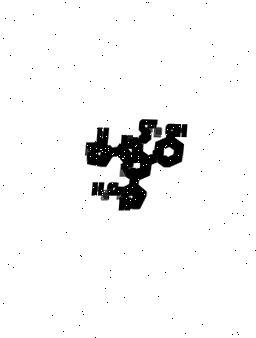 Cn1nccc1-c1cc(N2CCCC(O)C2)c2c(n1)c(-c1ccn[nH]1)nn2CC(F)(F)F